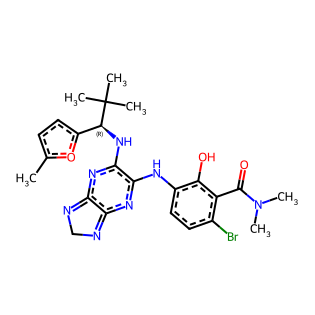 Cc1ccc([C@H](Nc2nc3c(nc2Nc2ccc(Br)c(C(=O)N(C)C)c2O)=NCN=3)C(C)(C)C)o1